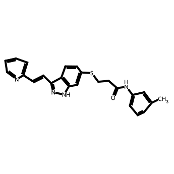 Cc1cccc(NC(=O)CCSc2ccc3c(C=Cc4ccccn4)n[nH]c3c2)c1